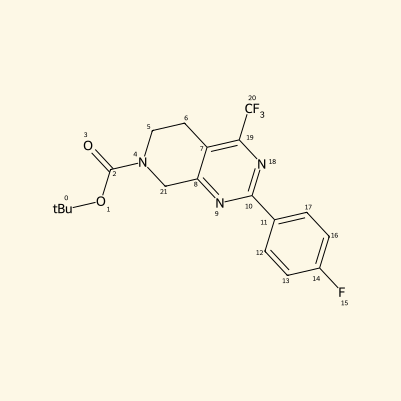 CC(C)(C)OC(=O)N1CCc2c(nc(-c3ccc(F)cc3)nc2C(F)(F)F)C1